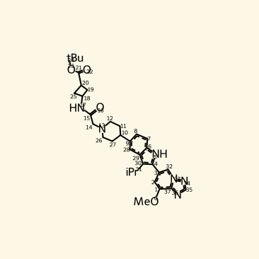 COc1cc(-c2[nH]c3ccc(C4CCN(CC(=O)NC5CC(C(=O)OC(C)(C)C)C5)CC4)cc3c2C(C)C)cn2ncnc12